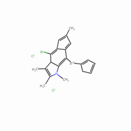 CC1=CC2=C(Br)C3C(C)=C(C)N(C)C3=[C]([Zr+2][C]3=CC=CC3)C2=C1.[Cl-].[Cl-]